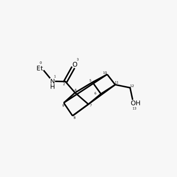 CCNC(=O)C12C3C4C1C1C2C3C41CO